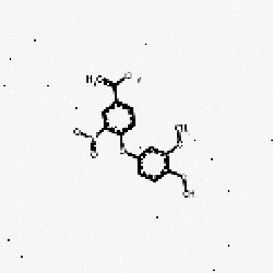 C=C(C)c1ccc(Oc2ccc(OC)c(OC)c2)c([N+](=O)[O-])c1